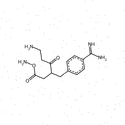 N=C(N)c1ccc(CC(CC(=O)ON)C(=O)CCN)cc1